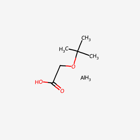 CC(C)(C)OCC(=O)O.[AlH3]